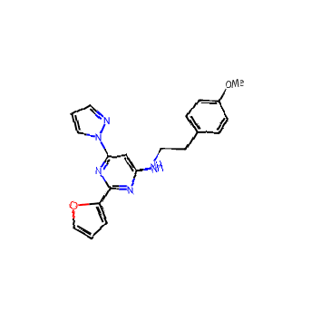 COc1ccc(CCNc2cc(-n3cccn3)nc(-c3ccco3)n2)cc1